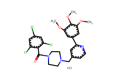 COc1cc(-c2cc(CN3CCN(C(=O)c4c(Cl)cc(Cl)cc4Cl)CC3)ccn2)cc(OC)c1OC.Cl